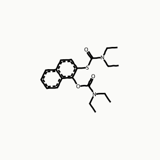 CCN(CC)C(=O)Oc1c(SC(=O)N(CC)CC)ccc2ccccc12